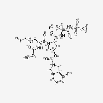 C=CCNC[C@H](NC(=O)OC(C)(C)C)C(=O)N1C[C@H](OC(=O)N2Cc3cccc(F)c3C2)CC1C(=O)N[C@]1(C(=O)NS(=O)(=O)C2CC2)C[C@H]1CC